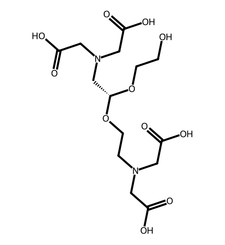 O=C(O)CN(CCO[C@H](CN(CC(=O)O)CC(=O)O)OCCO)CC(=O)O